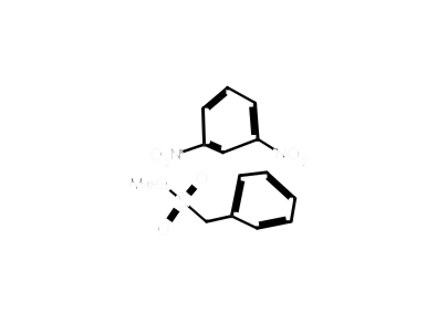 COS(=O)(=O)Cc1ccccc1.O=[N+]([O-])c1cccc([N+](=O)[O-])c1